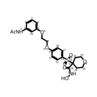 CC(=O)Nc1cccc(OCCOc2ccc(S(=O)(=O)C3(C(=O)NO)CCOCC3)cc2)c1